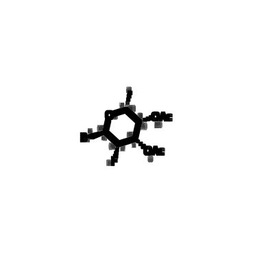 CC(=O)O[C@@H]1[C@H](F)[C@@H](Br)O[C@H](C)[C@@H]1OC(C)=O